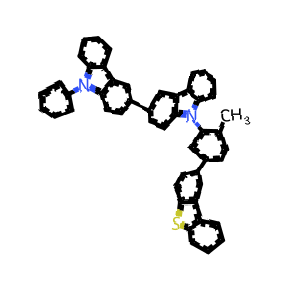 Cc1ccc(-c2ccc3sc4ccccc4c3c2)cc1-n1c2ccccc2c2cc(-c3ccc4c(c3)c3ccccc3n4-c3ccccc3)ccc21